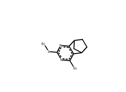 CCSc1nc(CC)c2c(n1)C1CCC2C1